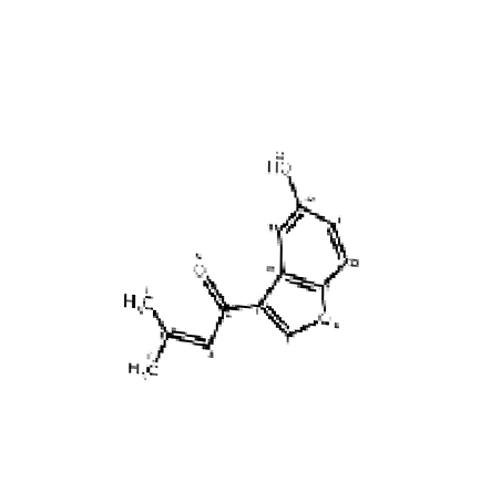 CC(C)=CC(=O)c1coc2ccc(O)cc12